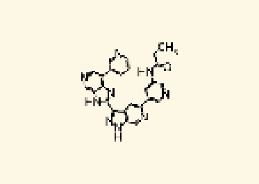 CCC(=O)Nc1cncc(-c2cc3c(-c4nc5c(-c6cccnc6)cncc5[nH]4)n[nH]c3cn2)c1